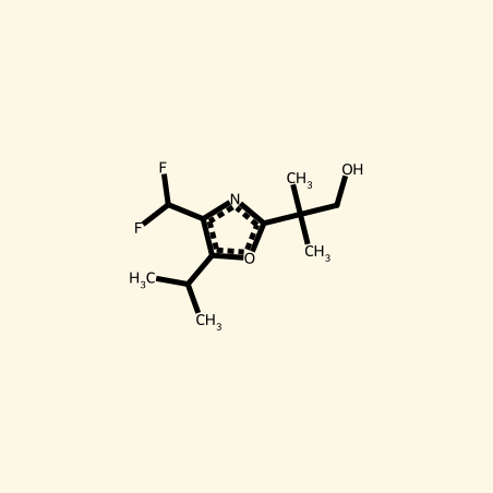 CC(C)c1oc(C(C)(C)CO)nc1C(F)F